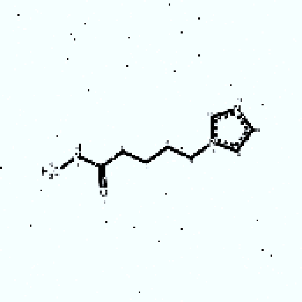 CNC(=O)CCCCn1c[c]nc1